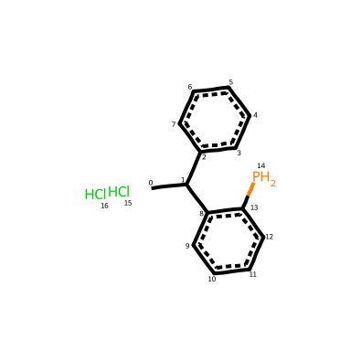 CC(c1ccccc1)c1ccccc1P.Cl.Cl